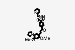 COc1cc(OC)c(N2CCCC2)cc1C=CC(=O)c1ccc(S(=O)(=O)NCc2ccccn2)cc1